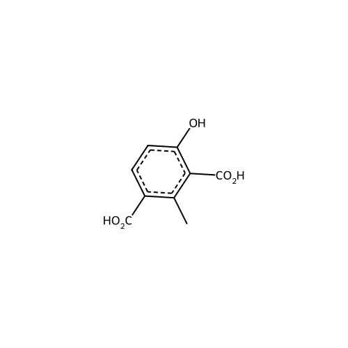 Cc1c(C(=O)O)ccc(O)c1C(=O)O